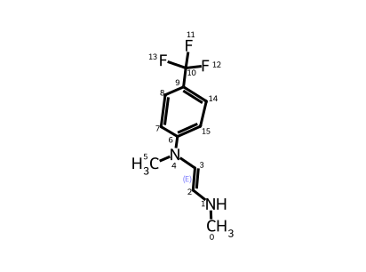 CN/C=C/N(C)c1ccc(C(F)(F)F)cc1